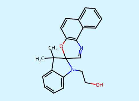 CC1(C)c2ccccc2N(CCO)C12C=Nc1c(ccc3ccccc13)O2